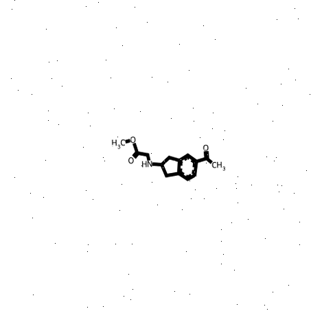 COC(=O)CNC1Cc2ccc(C(C)=O)cc2C1